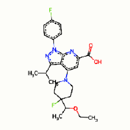 CCOC(C)C1(F)CCN(c2cc(C(=O)O)nc3c2c(C(C)C)nn3-c2ccc(F)cc2)CC1